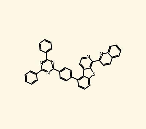 c1ccc(-c2nc(-c3ccccc3)nc(-c3ccc(-c4cccc5sc6c(-c7ccc8ccccc8n7)nccc6c45)cc3)n2)cc1